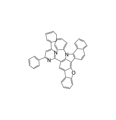 C1=CCCC(c2cc(-c3ccccc3)nc(-c3cc4c5ccccc5oc4c4c5ccc6ccccc6c5n(-c5ccccc5)c34)n2)=C1